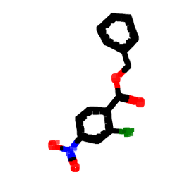 O=C(OCc1ccccc1)c1ccc([N+](=O)[O-])cc1Br